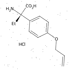 C=CCOc1ccc([C@@](N)(CC)C(=O)O)cc1.Cl